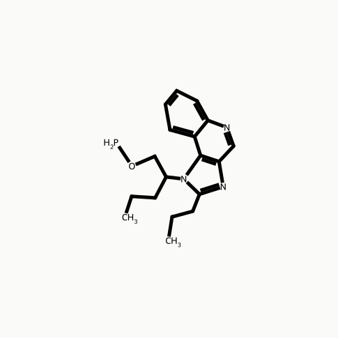 CCCc1nc2cnc3ccccc3c2n1C(CCC)COP